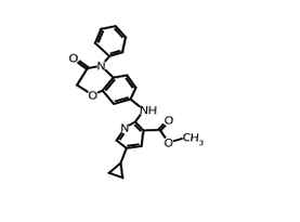 COC(=O)c1cc(C2CC2)cnc1Nc1ccc2c(c1)OCC(=O)N2c1ccccc1